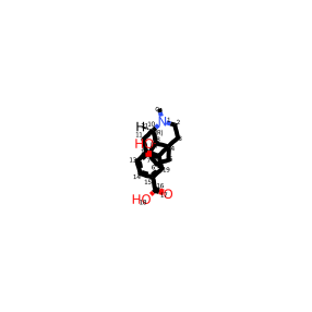 CN1CCC23CCC[C@@]2(O)[C@H]1Cc1ccc(C(=O)O)cc13